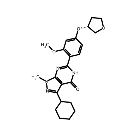 COc1cc(O[C@@H]2CCOC2)ccc1-c1nc2c(c(C3CCCCC3)nn2C)c(=O)[nH]1